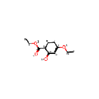 CCOC(=O)[C@H]1CCC(OCC)=CC1=O